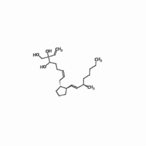 C=CC(O)(CO)C(O)CC/C=C\C[C@H]1CCC[C@@H]1/C=C/[C@H](C)CCCCC